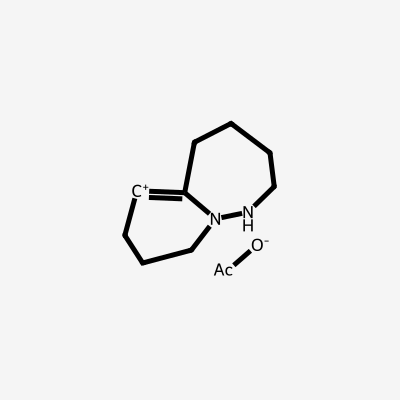 CC(=O)[O-].[C+]1=C2CCCCNN2CCC1